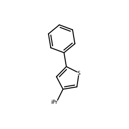 CC(C)c1csc(-c2ccccc2)c1